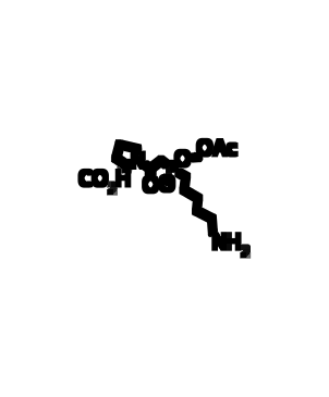 CC(=O)OCOP(=O)(CCCCCCN)CC(=O)N1CCC[C@H]1C(=O)O